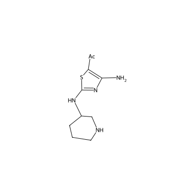 CC(=O)c1sc(NC2CCCNC2)nc1N